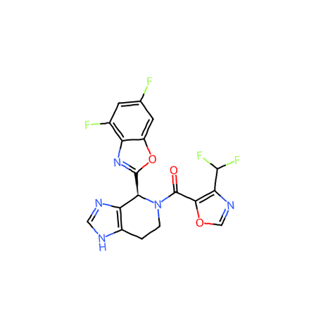 O=C(c1ocnc1C(F)F)N1CCc2[nH]cnc2[C@H]1c1nc2c(F)cc(F)cc2o1